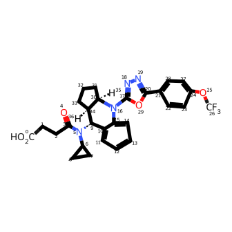 O=C(O)CCC(=O)N(C1CC1)[C@H]1c2ccccc2N(c2nnc(-c3ccc(OC(F)(F)F)cc3)o2)[C@@H]2CCC[C@@H]21